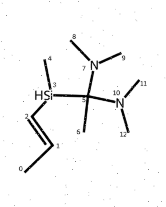 CC=C[SiH](C)C(C)(N(C)C)N(C)C